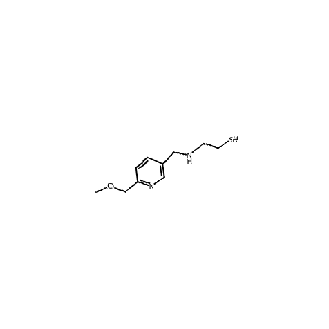 COCc1ccc(CNCCS)cn1